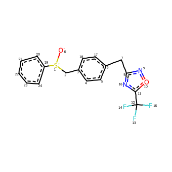 [O-][S+](Cc1ccc(Cc2noc(C(F)(F)F)n2)cc1)c1ccccc1